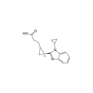 O=C(O)CCC1C[C@@H]1c1nc2ccccc2n1C1CC1